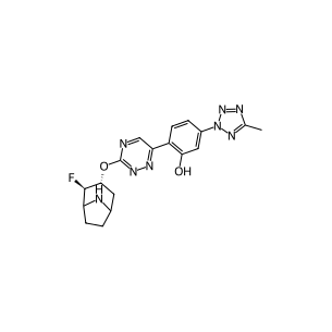 Cc1nnn(-c2ccc(-c3cnc(O[C@@H]4CC5CCC(N5)[C@H]4F)nn3)c(O)c2)n1